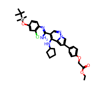 CCOC(=O)COc1ccc(-c2cc3c(NC4CCCC4)c(/C(N)=N/c4ccc(O[Si](C)(C)C(C)(C)C)cc4Cl)cnn3c2)cc1